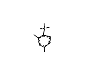 FC(F)(F)c1ccc(I)cc1Cl